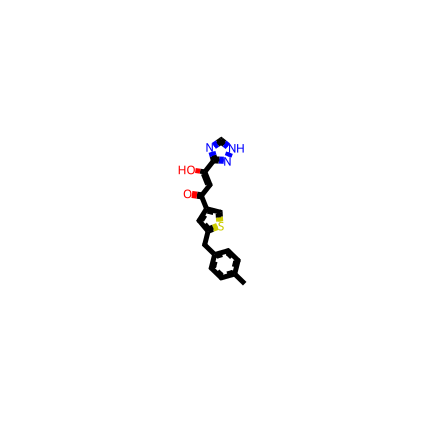 Cc1ccc(Cc2cc(C(=O)C=C(O)c3nc[nH]n3)cs2)cc1